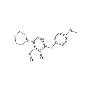 COc1ccc(Cn2ncc(N3CCOCC3)c(C=O)c2=O)cc1